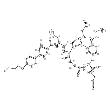 CCCCOc1ccc(-c2ncc(C(=O)N[C@@H](CCN)C(=O)N(C)[C@@H]3C(=O)N[C@@H](C)C(=O)N[C@H](C(=O)NCC#N)Cc4ccc(OCCN)c(c4)-c4cc3ccc4OCCN)c(C)n2)cc1